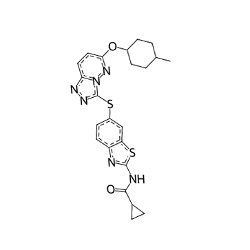 CC1CCC(Oc2ccc3nnc(Sc4ccc5nc(NC(=O)C6CC6)sc5c4)n3n2)CC1